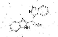 CCCCC(c1nc2ccccc2[nH]1)n1nnc2ccccc21